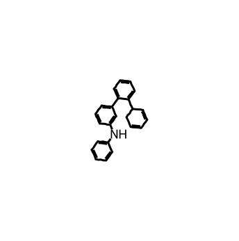 C1=CCC(c2ccccc2-c2cccc(Nc3ccccc3)c2)C=C1